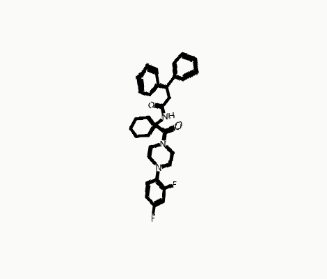 O=C(CC(c1ccccc1)c1ccccc1)NC1(C(=O)N2CCN(c3ccc(F)cc3F)CC2)CCCCC1